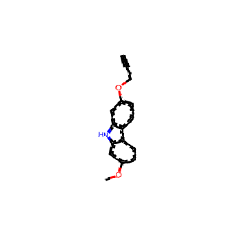 C#CCOc1ccc2c(c1)[nH]c1cc(OC)ccc12